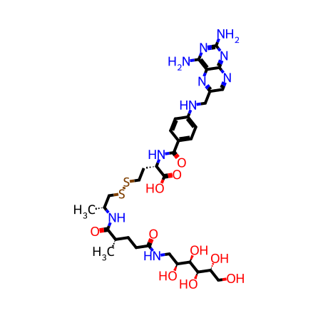 C[C@H](CSSCC[C@H](NC(=O)c1ccc(NCc2cnc3nc(N)nc(N)c3n2)cc1)C(=O)O)NC(=O)[C@@H](C)CCC(=O)NC[C@H](O)[C@@H](O)[C@H](O)[C@H](O)CO